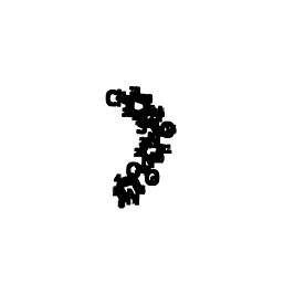 O=C(Oc1cccnc1)N1CCN(C(=O)c2nc3ccc(Cl)cc3s2)CC1